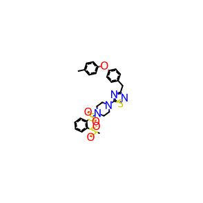 Cc1ccc(Oc2ccc(Cc3nsc(N4CCN(S(=O)(=O)c5ccccc5S(C)(=O)=O)CC4)n3)cc2)cc1